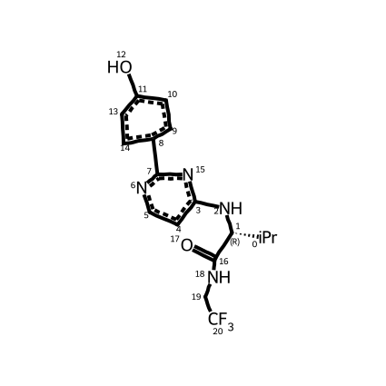 CC(C)[C@@H](Nc1ccnc(-c2ccc(O)cc2)n1)C(=O)NCC(F)(F)F